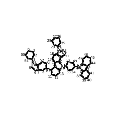 c1ccc(-n2ccc3cc(-c4cccc5c4c4ccc6c(cnn6-c6ccccc6)c4n5-c4ccc(-n5c6ccccc6c6ccccc65)cc4)ccc32)cc1